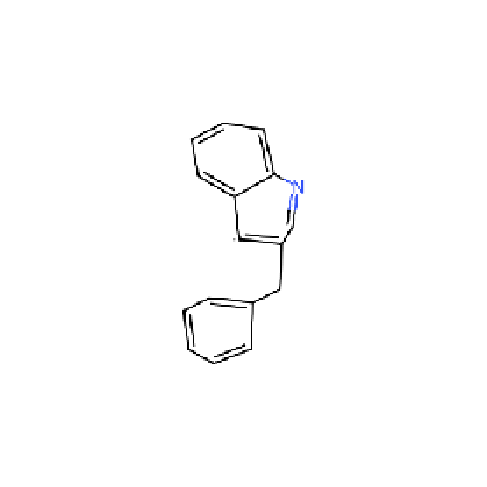 [c]1c(Cc2ccccc2)cnc2ccccc12